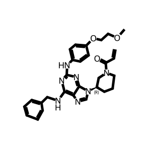 C=CC(=O)N1CCC[C@@H](n2cnc3c(NCc4ccccc4)nc(Nc4ccc(OCCOC)cc4)nc32)C1